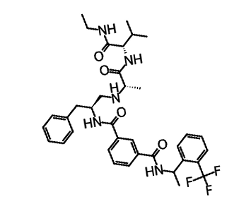 CCNC(=O)[C@@H](NC(=O)[C@H](C)NC[C@H](Cc1ccccc1)NC(=O)c1cccc(C(=O)NC(C)c2ccccc2C(F)(F)F)c1)C(C)C